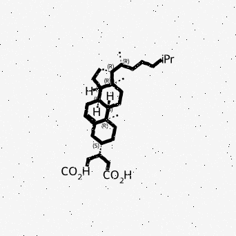 CC(C)CCC[C@@H](C)[C@H]1CC[C@H]2[C@@H]3CC=C4C[C@@H](C(CC(=O)O)CC(=O)O)CC[C@]4(C)[C@H]3CC[C@]12C